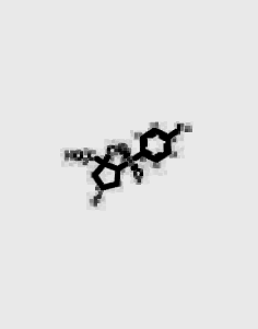 CC1(C(=O)O)C[C@@H](F)CC1S(=O)(=O)c1ccc(F)cc1